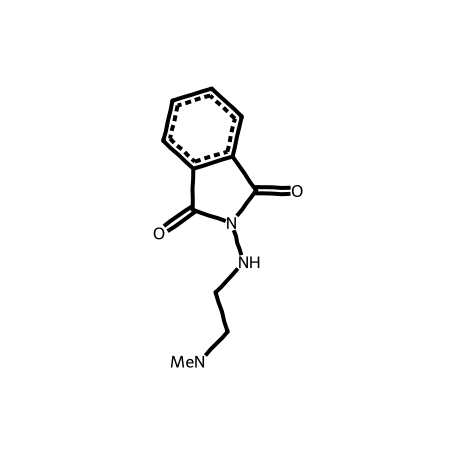 CNCCNN1C(=O)c2ccccc2C1=O